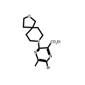 CCOC(=O)c1nc(Br)c(C)nc1N1CCC2(CCOC2)CC1